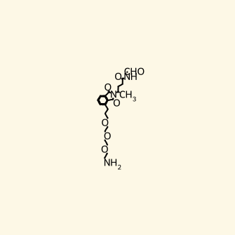 CC(CCC(=O)NC=O)N1C(=O)c2cccc(CCCOCCOCCOCCN)c2C1=O